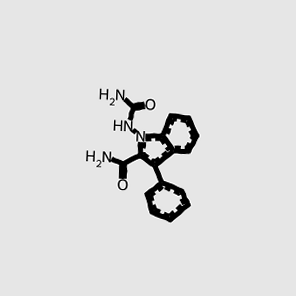 NC(=O)Nn1c(C(N)=O)c(-c2ccccc2)c2ccccc21